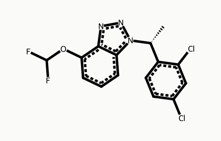 C[C@H](c1ccc(Cl)cc1Cl)n1nnc2c(OC(F)F)cccc21